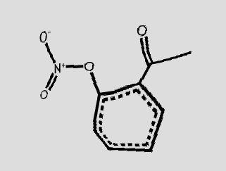 CC(=O)c1ccccc1O[N+](=O)[O-]